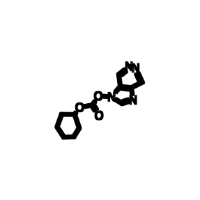 O=C(OC1CCCCC1)On1cnc2cnncc21